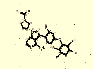 Nc1ncnc2c1c(-c1ccc(Oc3c(F)c(F)cc(F)c3F)cc1F)nn2[C@@H]1CCN(C(=O)O)C1